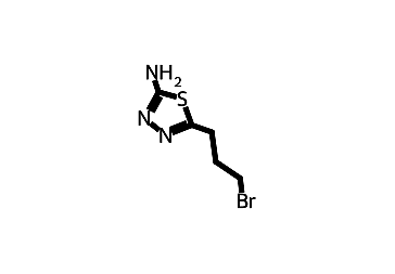 Nc1nnc(CCCBr)s1